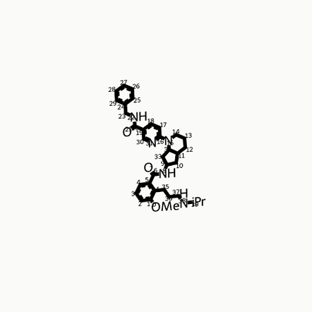 COc1cccc(C(=O)NC2CC3CCCN(c4ccc(C(=O)NCc5ccccc5)cn4)C3C2)c1CCCNC(C)C